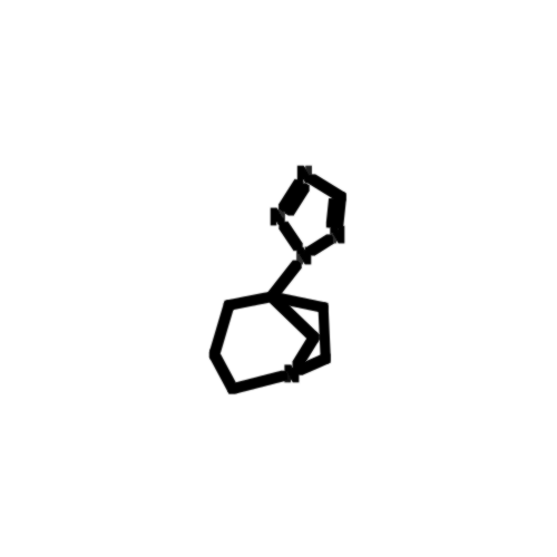 c1nnn(C23CCCN(CC2)C3)n1